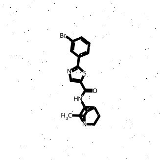 CC1C(NC(=O)c2cnc(-c3cccc(Br)c3)s2)C2CCN1CC2